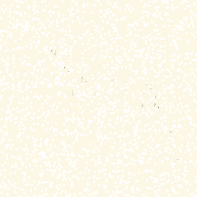 CCCc1ccc(C)cc1N1C(=O)CS/C1=N\C(=O)NC(C)(C)c1ccc(-c2ncn(-c3ccc(OC(F)(F)F)cc3)n2)cc1